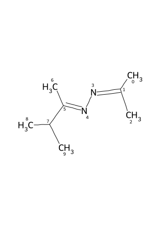 CC(C)=N/N=C(\C)C(C)C